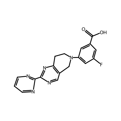 O=C(O)c1cc(F)cc(N2CCc3nc(-c4ncccn4)ncc3C2)c1